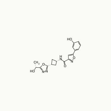 C[C@@H](O)c1nnc([C@H]2C[C@@H](NC(=O)c3cc(-c4cccc(O)c4)on3)C2)o1